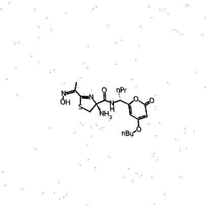 CCCCOc1cc([C@@H](CCC)NC(=O)[C@]2(N)CSC(/C(C)=N\O)=N2)oc(=O)c1